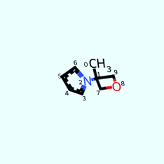 CC1(n2cccc2)COC1